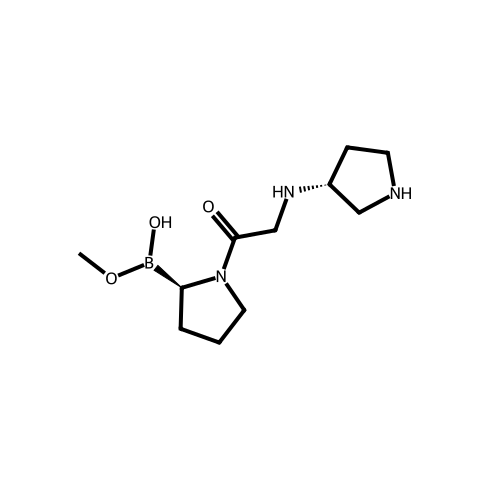 COB(O)[C@@H]1CCCN1C(=O)CN[C@@H]1CCNC1